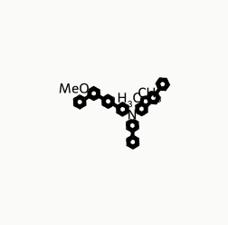 COc1ccc(-c2ccc(-c3ccc(N(c4ccc(-c5ccccc5)cc4)c4ccc5c(c4)C(C)(C)c4cc(-c6ccccc6)ccc4-5)cc3)cc2)cc1-c1ccccc1